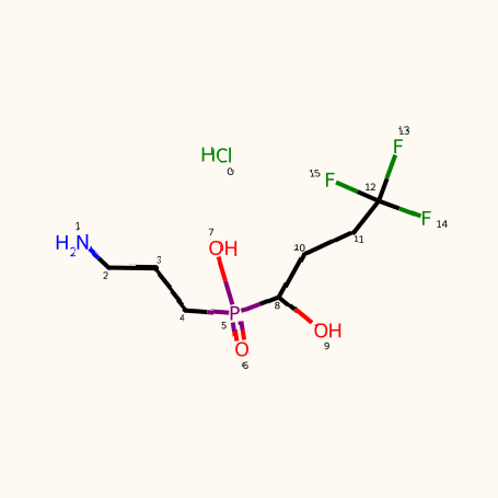 Cl.NCCCP(=O)(O)C(O)CCC(F)(F)F